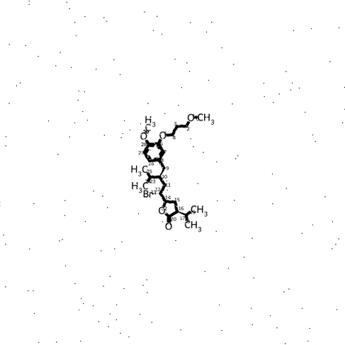 COCCCOc1cc(C[C@@H](C[C@@H](Br)C2C[C@@H](C(C)C)C(=O)O2)C(C)C)ccc1OC